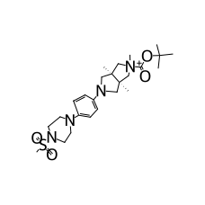 CC(C)(C)OC(=O)[N+]1(C)C[C@]2(C)CN(c3ccc(N4CCN(S(C)(=O)=O)CC4)cc3)C[C@]2(C)C1